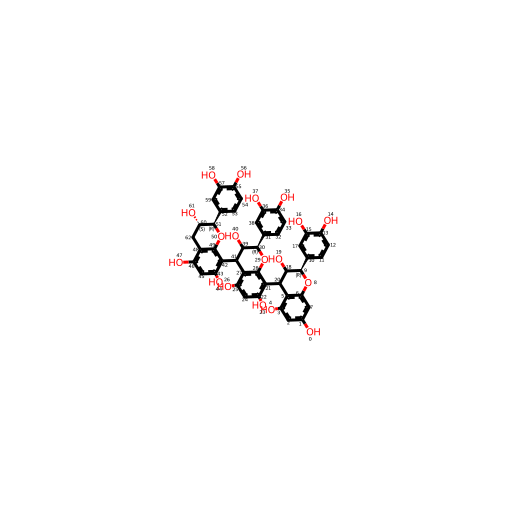 Oc1cc(O)c2c(c1)O[C@H](c1ccc(O)c(O)c1)C(O)C2c1c(O)cc(O)c2c1O[C@H](c1ccc(O)c(O)c1)C(O)C2c1c(O)cc(O)c2c1O[C@H](c1ccc(O)c(O)c1)[C@@H](O)C2